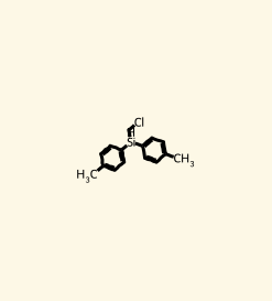 Cc1ccc([SiH](CCl)c2ccc(C)cc2)cc1